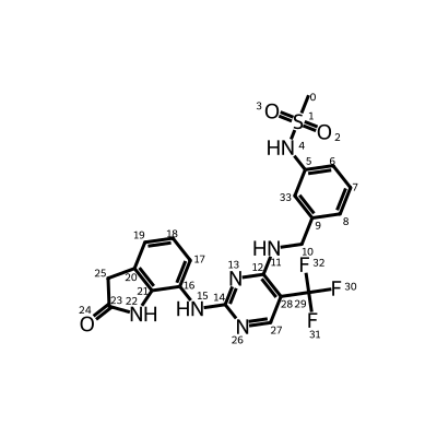 CS(=O)(=O)Nc1cccc(CNc2nc(Nc3cccc4c3NC(=O)C4)ncc2C(F)(F)F)c1